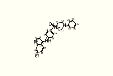 O=C(c1ccc(Nc2ccnc3cc(Cl)ccc23)cc1)N1CCN(c2ccccc2)CC1